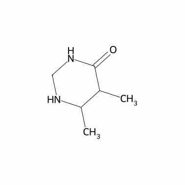 CC1NCNC(=O)C1C